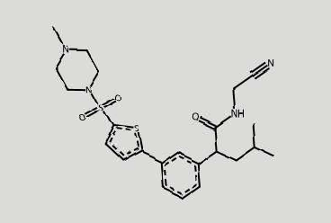 CC(C)CC(C(=O)NCC#N)c1cccc(-c2ccc(S(=O)(=O)N3CCN(C)CC3)s2)c1